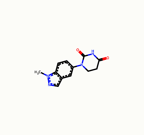 Cn1ncc2cc(N3CCC(=O)NC3=O)ccc21